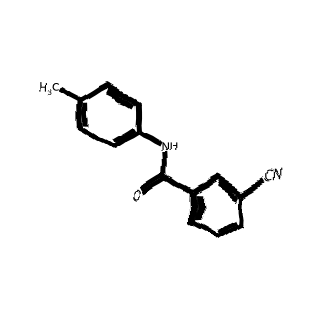 Cc1ccc(NC(=O)c2cccc(C#N)c2)cc1